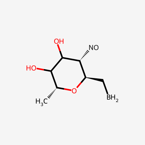 BC[C@H]1O[C@H](C)C(O)C(O)[C@@H]1N=O